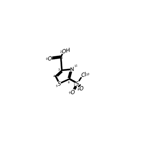 O=C(O)c1csc(S(=O)(=O)Cl)n1